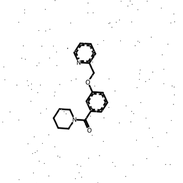 O=C(c1cccc(OCc2ccccn2)c1)N1CCCCC1